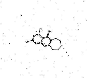 N=c1c2c(Cl)cc(Cl)cc2nc2n1CCCCC2